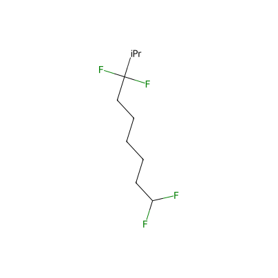 CC(C)C(F)(F)CCCCCC(F)F